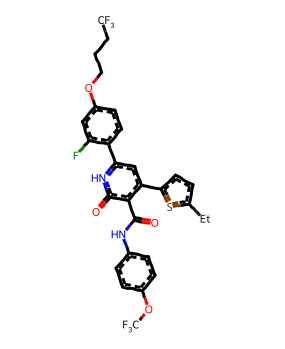 CCc1ccc(-c2cc(-c3ccc(OCCCC(F)(F)F)cc3F)[nH]c(=O)c2C(=O)Nc2ccc(OC(F)(F)F)cc2)s1